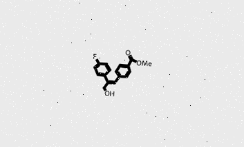 COC(=O)c1ccc(/C=C(/CO)c2ccc(F)cc2)cc1